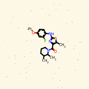 Cc1sc(Nc2ccc(OC(C)C)cc2F)nc1C(=O)N1CCCC(C)C1C